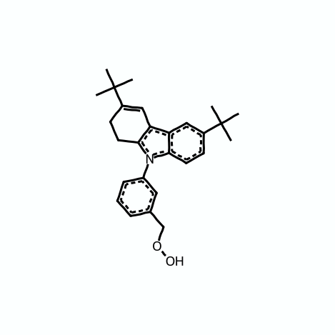 CC(C)(C)C1=Cc2c(n(-c3cccc(COO)c3)c3ccc(C(C)(C)C)cc23)CC1